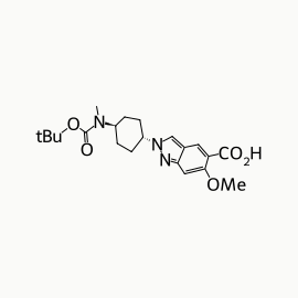 COc1cc2nn([C@H]3CC[C@H](N(C)C(=O)OC(C)(C)C)CC3)cc2cc1C(=O)O